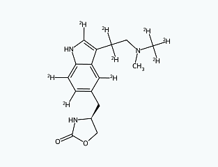 [2H]c1[nH]c2c([2H])c([2H])c(C[C@H]3COC(=O)N3)c([2H])c2c1C([2H])([2H])CN(C)C([2H])([2H])[2H]